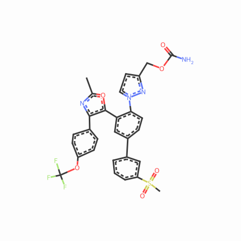 Cc1nc(-c2ccc(OC(F)(F)F)cc2)c(-c2cc(-c3cccc(S(C)(=O)=O)c3)ccc2-n2ccc(COC(N)=O)n2)o1